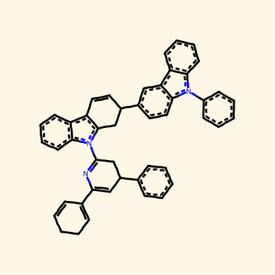 C1=CC(C2=CC(c3ccccc3)CC(n3c4c(c5ccccc53)C=CC(c3ccc5c(c3)c3ccccc3n5-c3ccccc3)C4)=N2)=CCC1